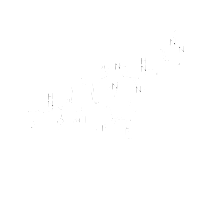 Cn1cc(CNc2nc3cc(F)c(F)cc3n3c(-c4ccc(C(=O)NC5CC5)c(Cl)c4)cnc23)cn1